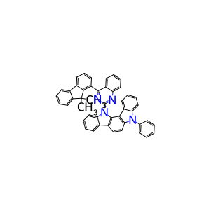 CC1(C)c2ccccc2-c2cccc(-c3nc(-n4c5ccccc5c5ccc6c(c7ccccc7n6-c6ccccc6)c54)nc4ccccc34)c21